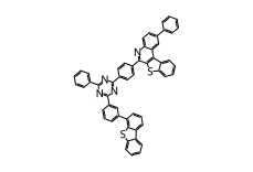 c1ccc(-c2ccc3nc(-c4ccc(-c5nc(-c6ccccc6)nc(-c6cccc(-c7cccc8c7sc7ccccc78)c6)n5)cc4)c4sc5ccccc5c4c3c2)cc1